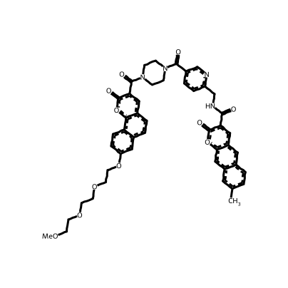 COCCOCCOCCOc1ccc2c(ccc3cc(C(=O)N4CCN(C(=O)c5ccc(CNC(=O)c6cc7cc8ccc(C)cc8cc7oc6=O)nc5)CC4)c(=O)oc32)c1